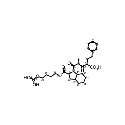 CC(NC(CCc1ccccc1)C(=O)O)C(=O)N1C(C(=O)OCCCCON(O)O)CC2CCCCC21